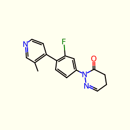 Cc1cnccc1-c1ccc(N2N=CCCC2=O)cc1F